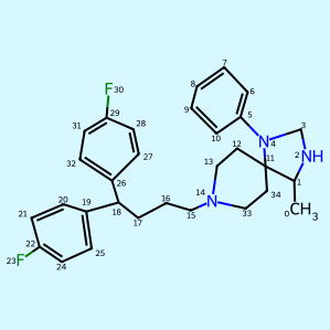 CC1NCN(c2ccccc2)C12CCN(CCCC(c1ccc(F)cc1)c1ccc(F)cc1)CC2